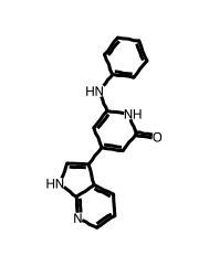 O=c1cc(-c2c[nH]c3ncccc23)cc(Nc2ccccc2)[nH]1